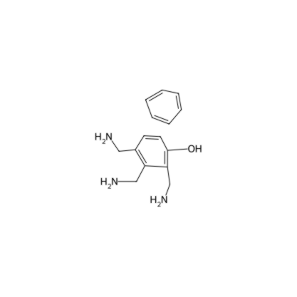 NCc1ccc(O)c(CN)c1CN.c1ccccc1